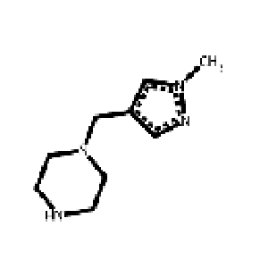 Cn1cc(CN2CCNCC2)cn1